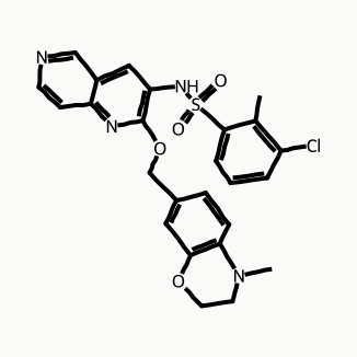 Cc1c(Cl)cccc1S(=O)(=O)Nc1cc2cnccc2nc1OCc1ccc2c(c1)OCCN2C